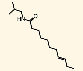 CCC=CCCCCCCC(=O)NCC(C)C